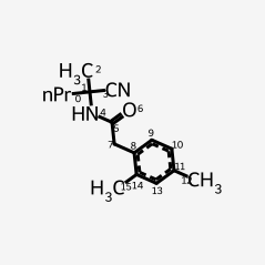 CCCC(C)(C#N)NC(=O)Cc1ccc(C)cc1C